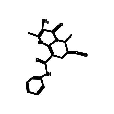 CC1=C(N)C(=O)N2C(=C(C(=O)Nc3ccccc3)CC(=C=O)C2C)N1